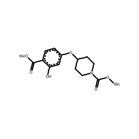 COC(=O)c1ccc(OC2CCN(C(=O)OC(C)(C)C)CC2)cc1O